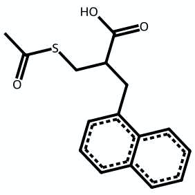 CC(=O)SCC(Cc1cccc2ccccc12)C(=O)O